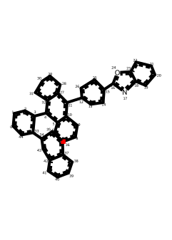 c1ccc(-c2c3ccccc3c(-c3ccc(-c4nc5ccccc5o4)cc3)c3ccccc23)c(-c2ccc3ccccc3c2)c1